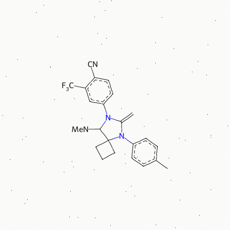 C=C1N(c2ccc(C#N)c(C(F)(F)F)c2)C(NC)C2(CCC2)N1c1ccc(C)cc1